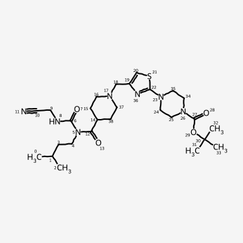 CC(C)CCN(C(=O)NCC#N)C(=O)C1CCN(Cc2csc(N3CCN(C(=O)OC(C)(C)C)CC3)n2)CC1